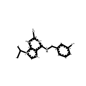 CC(C)n1cnc2c(NCc3cccc(F)c3)nc(Cl)nc21